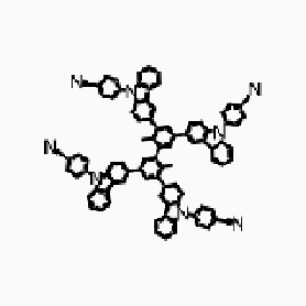 Cc1c(-c2ccc3c(c2)c2ccccc2n3-c2ccc(C#N)cc2)cc(-c2ccc3c(c2)C2C=CC=CC2N3c2ccc(C#N)cc2)cc1-c1cc(-c2ccc3c(c2)c2ccccc2n3-c2ccc(C#N)cc2)cc(-c2ccc3c(c2)c2ccccc2n3-c2ccc(C#N)cc2)c1C